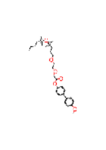 CCCC[Si](C)(C)O[Si](C)(C)CCCOCCOCC(=O)Oc1ccc(-c2ccc(OC)cc2)cc1